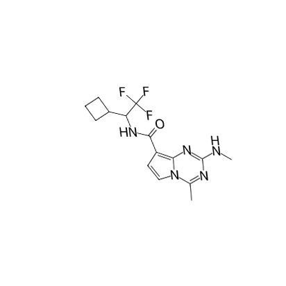 CNc1nc(C)n2ccc(C(=O)NC(C3CCC3)C(F)(F)F)c2n1